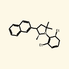 CCC1=C(N2[C@@H](C)C(c3ccc4ccccc4c3)CC2(C)C)[C@@H](CC)CC=C1